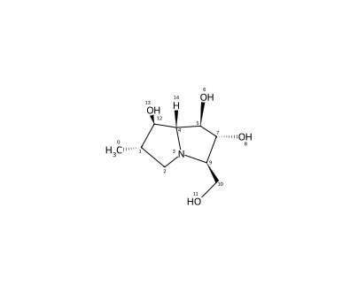 C[C@H]1CN2[C@@H]([C@@H](O)[C@H](O)[C@H]2CO)[C@@H]1O